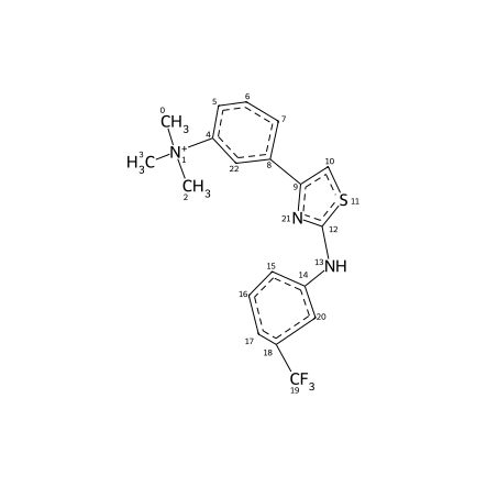 C[N+](C)(C)c1cccc(-c2csc(Nc3cccc(C(F)(F)F)c3)n2)c1